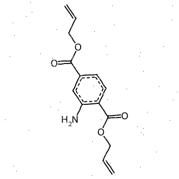 C=CCOC(=O)c1ccc(C(=O)OCC=C)c(N)c1